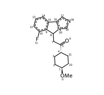 CO[C@H]1CC[C@H](C(=O)CC2c3c(F)cccc3-c3cncn32)CC1